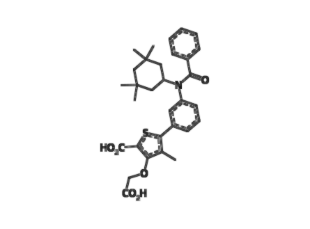 Cc1c(-c2cccc(N(C(=O)c3ccccc3)C3CC(C)(C)CC(C)(C)C3)c2)sc(C(=O)O)c1OCC(=O)O